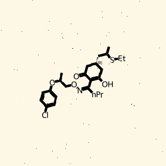 CCCC(=NOCC(C)Oc1ccc(Cl)cc1)C1=C(O)C[C@@H](CC(C)SCC)CC1=O